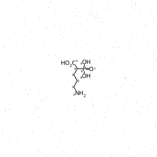 NCCCC(C(=O)O)P(=O)(O)O